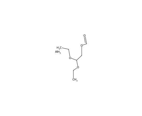 CCOC(COC=O)OCC.[AlH3]